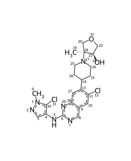 Cn1ncc(Nc2ncc3cc(Cl)c(C4CCN([C@@]5(C)COC[C@H]5O)CC4)cc3n2)c1Cl